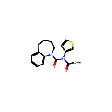 COC(=O)N(C(=O)N1CCCCc2ccccc21)c1ccsc1